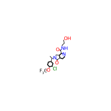 CC(c1ccc(OC(F)(F)F)c(Cl)c1)N1Cc2c(ccnc2C(=O)NCCCO)C1=O